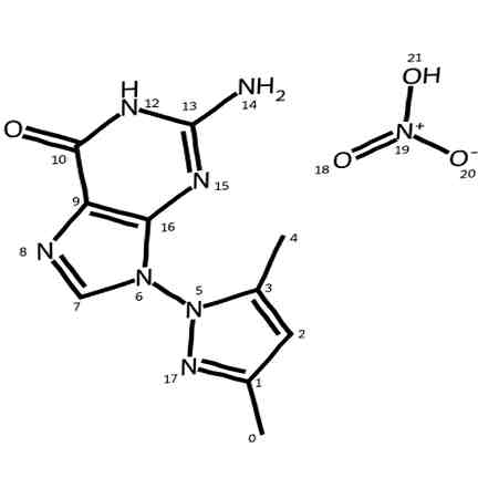 Cc1cc(C)n(-n2cnc3c(=O)[nH]c(N)nc32)n1.O=[N+]([O-])O